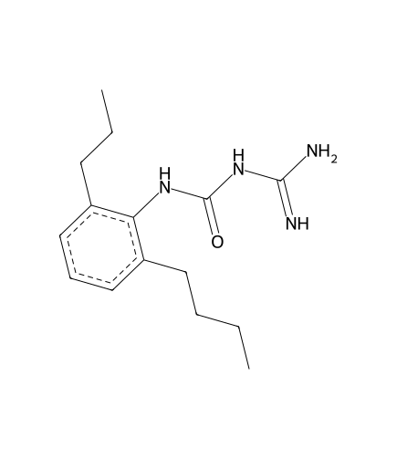 CCCCc1cccc(CCC)c1NC(=O)NC(=N)N